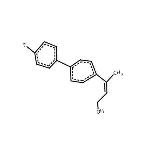 C/C(=C/CO)c1ccc(-c2ccc(F)cc2)cc1